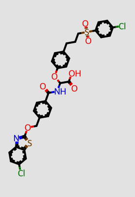 O=C(NC(Oc1ccc(CCCS(=O)(=O)c2ccc(Cl)cc2)cc1)C(=O)O)c1ccc(COc2nc3ccc(Cl)cc3s2)cc1